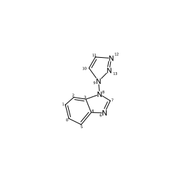 c1ccc2c(c1)ncn2-n1ccnn1